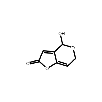 O=C1C=C2C(=CCOC2O)O1